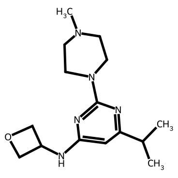 CC(C)c1cc(NC2COC2)nc(N2CCN(C)CC2)n1